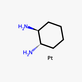 N[C@H]1CCCC[C@@H]1N.[Pt]